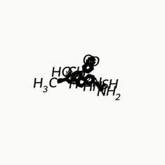 CC#CC1C[C@H]2[C@@H]3CCC4=CC(=NNC(N)S)CCC4=C3[C@@H](c3ccc4c(c3)OCO4)C[C@]2(C)[C@H]1O